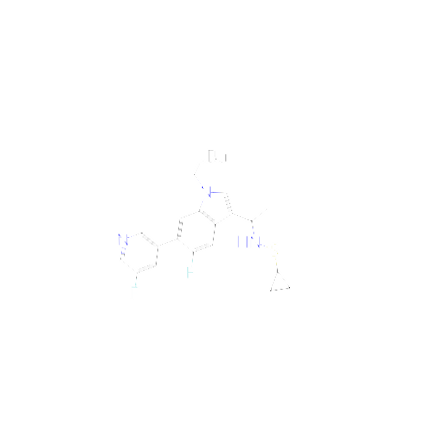 CC(NSC1CC1)c1cn(CC(C)(C)C)c2cc(-c3cncc(F)c3)c(F)cc12